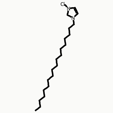 CCCCCCCCCCCCCCCCCCN1C=CN(Cl)C1